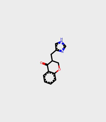 O=C1c2ccccc2OCC1Cc1c[nH]cn1